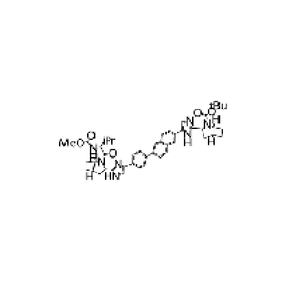 COC(=O)N[C@H](C(=O)N1[C@@H]2CC[C@@H]2C[C@H]1c1nc(-c2ccc(-c3ccc4cc(-c5cnc([C@@H]6C[C@H]7CC[C@H]7N6C(=O)OC(C)(C)C)[nH]5)ccc4c3)cc2)c[nH]1)C(C)C